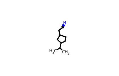 CC(C)C1CCC(CC#N)C1